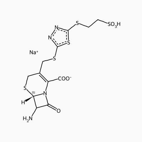 NC1C(=O)N2C(C(=O)[O-])=C(CSc3nnc(SCCS(=O)(=O)O)s3)CS[C@@H]12.[Na+]